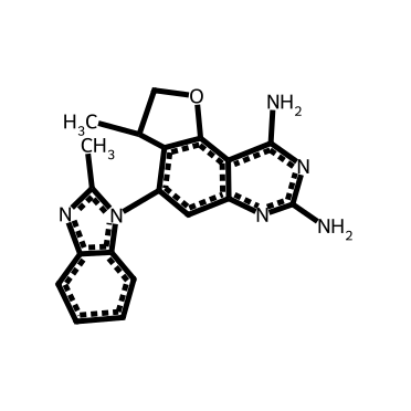 Cc1nc2ccccc2n1-c1cc2nc(N)nc(N)c2c2c1C(C)CO2